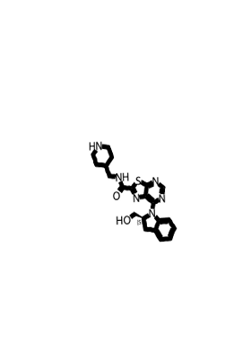 O=C(NCC1CCNCC1)c1nc2c(N3c4ccccc4C[C@H]3CO)ncnc2s1